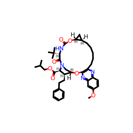 COc1ccc2nc3c(nc2c1)O[C@H]1CN(C(=O)[C@H](C(C)(C)C)NC(=O)O[C@@H]2C[C@H]2CCCCC3)[C@H](C(=O)OCC(C)C)[C@@H]1CCc1ccccc1